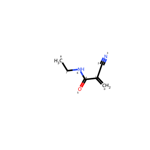 C=C(C#N)C(=O)NCC